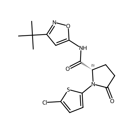 CC(C)(C)c1cc(NC(=O)[C@@H]2CCC(=O)N2c2ccc(Cl)s2)on1